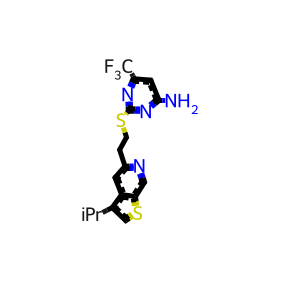 CC(C)c1csc2cnc(CCSc3nc(N)cc(C(F)(F)F)n3)cc12